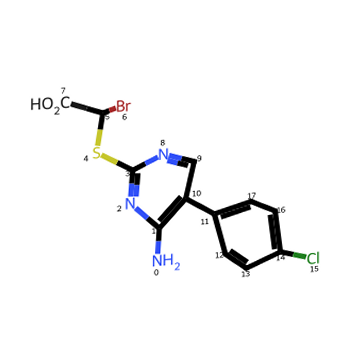 Nc1nc(SC(Br)C(=O)O)ncc1-c1ccc(Cl)cc1